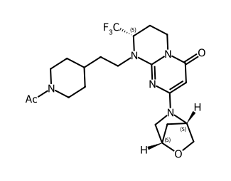 CC(=O)N1CCC(CCN2c3nc(N4C[C@@H]5C[C@H]4CO5)cc(=O)n3CC[C@H]2C(F)(F)F)CC1